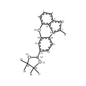 Cc1nc2cccc3c2n1-c1ccc(B2OC(C)(C)C(C)(C)O2)cc1O3